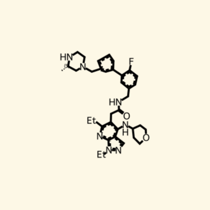 CCc1nc2c(cnn2CC)c(NC2CCOCC2)c1CC(=O)NCc1ccc(F)c(-c2cccc(CN3CCN[C@@H](C)C3)c2)c1